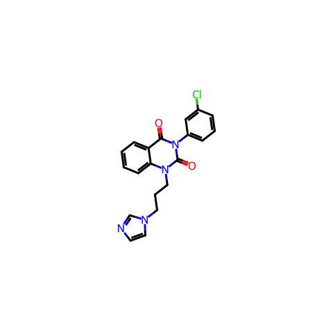 O=c1c2ccccc2n(CCCn2ccnc2)c(=O)n1-c1cccc(Cl)c1